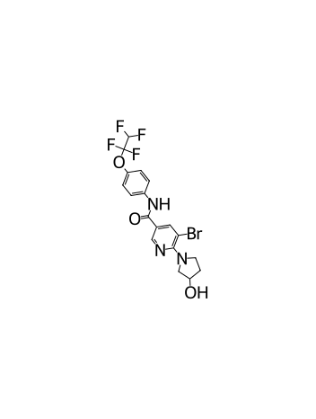 O=C(Nc1ccc(OC(F)(F)C(F)F)cc1)c1cnc(N2CCC(O)C2)c(Br)c1